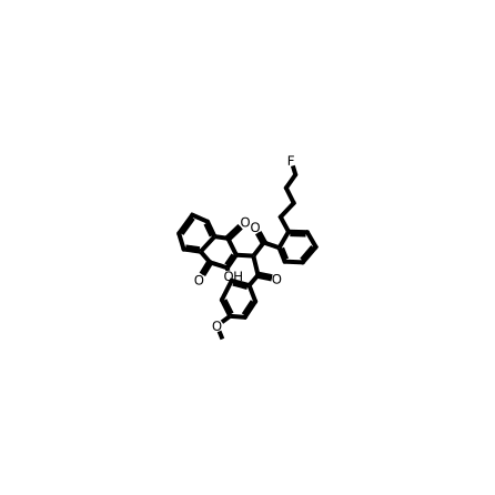 COc1ccc(C(=O)C(C(=O)c2ccccc2CCCCF)C2=C(O)C(=O)c3ccccc3C2=O)cc1